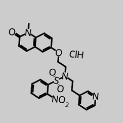 Cl.Cn1c(=O)ccc2cc(OCCN(CCc3cccnc3)S(=O)(=O)c3ccccc3[N+](=O)[O-])ccc21